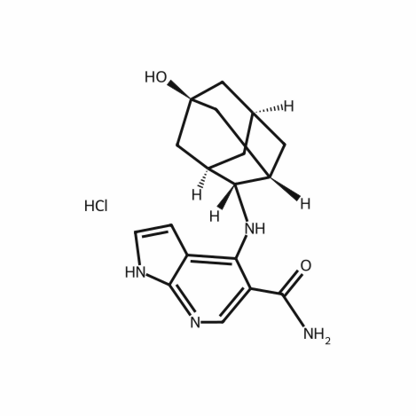 Cl.NC(=O)c1cnc2[nH]ccc2c1N[C@@H]1[C@@H]2C[C@@H]3C[C@H]1C[C@@](O)(C3)C2